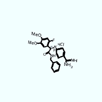 COc1cc(F)c([C@@H](Nc2ccc(C(=N)N)cc2)C(=O)NCc2ccccc2)cc1OC.Cl